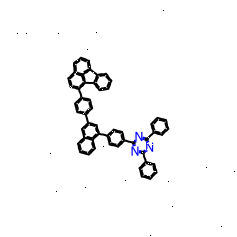 c1ccc(-c2nc(-c3ccccc3)nc(-c3ccc(-c4cc(-c5ccc(-c6ccc7cccc8c7c6-c6ccccc6-8)cc5)cc5ccccc45)cc3)n2)cc1